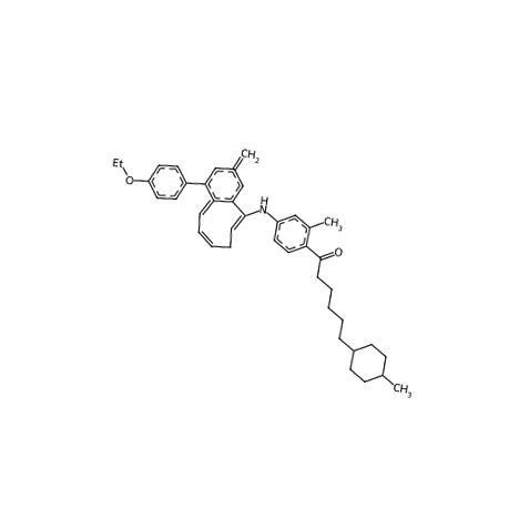 C=c1cc2/c(c(-c3ccc(OCC)cc3)c1)=C\C=C/C/C=C/2Nc1ccc(C(=O)CCCCCC2CCC(C)CC2)c(C)c1